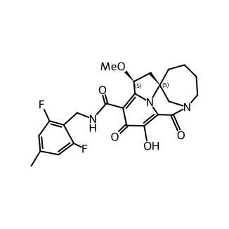 CO[C@H]1C[C@@]23CCCCN(C2)C(=O)c2c(O)c(=O)c(C(=O)NCc4c(F)cc(C)cc4F)c1n23